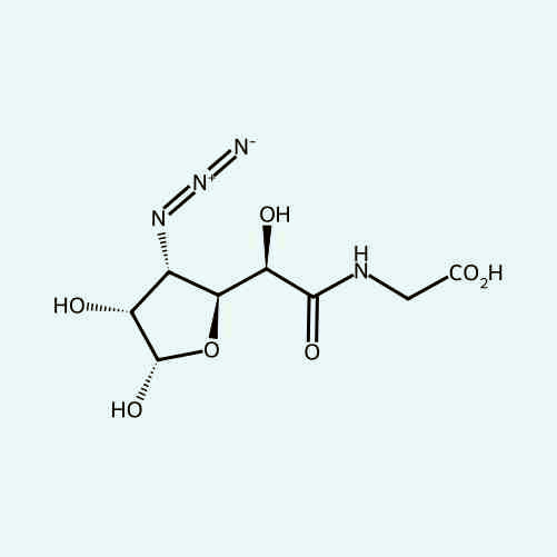 [N-]=[N+]=N[C@H]1[C@@H](O)[C@@H](O)O[C@@H]1[C@@H](O)C(=O)NCC(=O)O